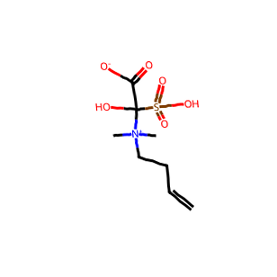 C=CCC[N+](C)(C)C(O)(C(=O)[O-])S(=O)(=O)O